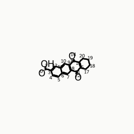 O=C(O)c1ccc2cc3c(cc2c1)C(=O)C1=C(CCCC1)C3=O